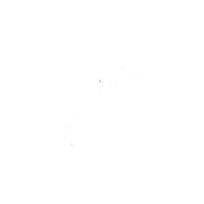 O=C(CC1CCC(c2ccccc2)CC1)Nc1ccc(Cl)cc1F